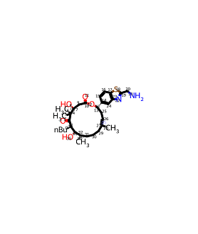 CCCC[C@H]1C(=O)C(C)(C)[C@@H](O)CC(=O)O[C@H](c2ccc3sc(CN)nc3c2)C/C=C(/C)CCC[C@H](C)[C@@H]1O